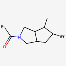 CCC(=O)N1CC2CC(C(C)C)C(C)C2C1